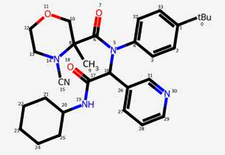 CC(C)(C)c1ccc(N(C(=O)C2(C)COCCN2C#N)C(C(=O)NC2CCCCC2)c2cccnc2)cc1